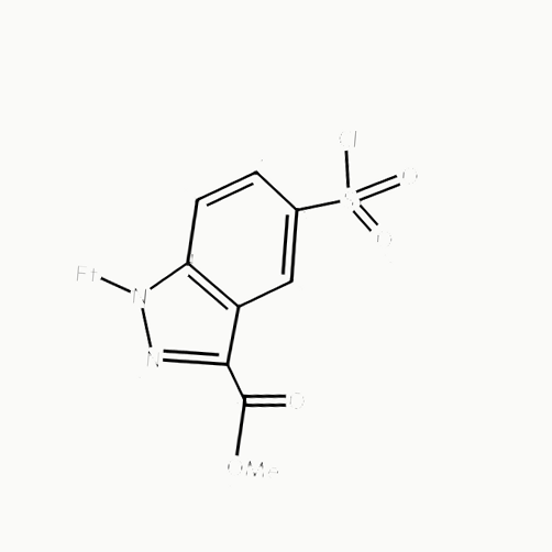 CCn1nc(C(=O)OC)c2cc(S(=O)(=O)Cl)ccc21